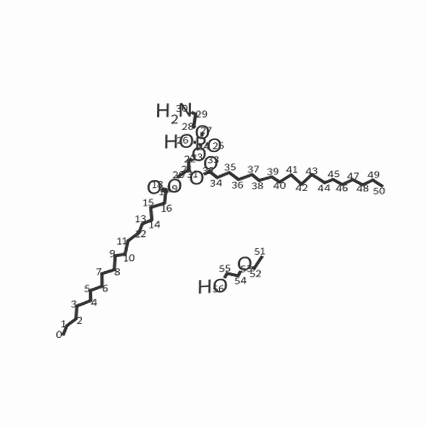 CCCCCCCCCCCCCCCCCC(=O)OCC(COP(=O)(O)OCCN)OC(=O)CCCCCCCCCCCCCCCCC.CCOCCO